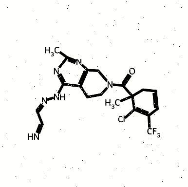 Cc1nc2c(c(N/N=C\C=N)n1)CCN(C(=O)C1(C)CC=CC(C(F)(F)F)=C1Cl)C2